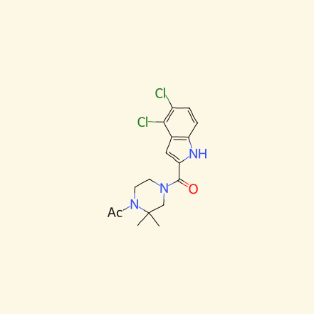 CC(=O)N1CCN(C(=O)c2cc3c(Cl)c(Cl)ccc3[nH]2)CC1(C)C